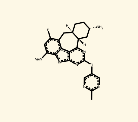 CNc1cc(F)c2c3c1[nH]c1nc(Oc4cnc(C)nc4)nc(c13)[C@H]1C[C@@H](N)CC[C@@H]1C2